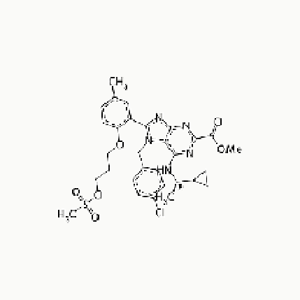 COC(=O)c1nc(N[C@H](C)C2CC2)c2c(n1)nc(-c1cc(C)ccc1OCCCOS(C)(=O)=O)n2Cc1ccc(Cl)cc1